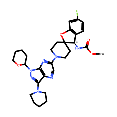 CC(C)(C)OC(=O)N[C@@H]1c2ccc(F)cc2OC12CCN(c1cnc3c(N4CCCCC4)nn(C4CCCCO4)c3n1)CC2